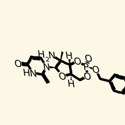 C=C1NC(=O)C=CN1[C@@H]1O[C@@H]2CO[P@](=O)(OCc3ccccc3)O[C@H]2[C@@]1(C)N